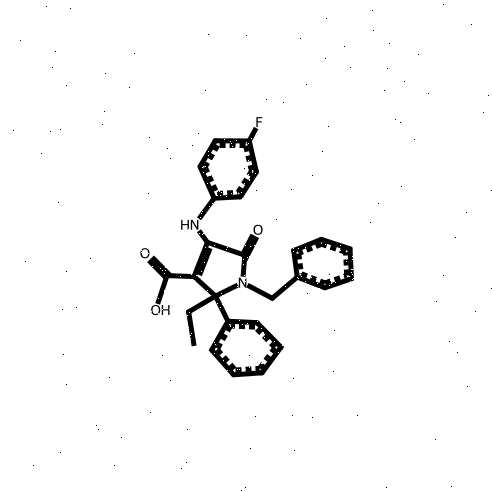 CCC1(c2ccccc2)C(C(=O)O)=C(Nc2ccc(F)cc2)C(=O)N1Cc1ccccc1